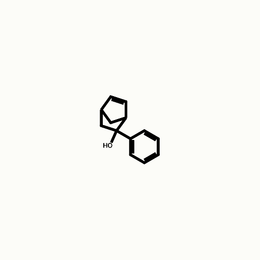 OC1(c2ccccc2)CC2C=CC1C2